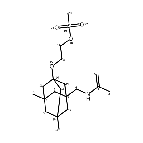 C=C(C)NCC12CC3(C)CC(C)(C1)CC(OCCOS(C)(=O)=O)(C3)C2